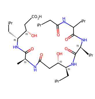 CC(C)CC(=O)NC(C(=O)N[C@H](C(=O)N[C@@H](CC(C)C)[C@@H](O)CC(=O)N[C@@H](C)C(=O)N[C@H](CC(C)C)[C@@H](O)CC(=O)O)C(C)C)C(C)C